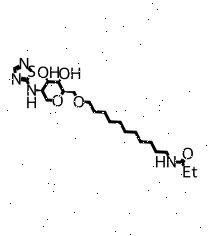 CCC(=O)NCCCCCCCCCCCOC[C@H]1OC[C@@H](Nc2ncns2)[C@@H](O)[C@H]1O